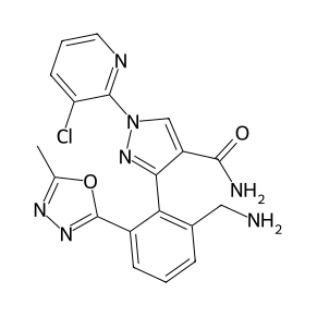 Cc1nnc(-c2cccc(CN)c2-c2nn(-c3ncccc3Cl)cc2C(N)=O)o1